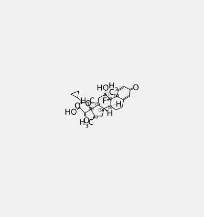 C[C@@H]1C[C@H]2[C@@H]3CCC4=CC(=O)C=C[C@]4(C)[C@@]3(F)[C@@H](O)C[C@]2(C)[C@@]1(OC(=O)C1CC1)C(=O)CO